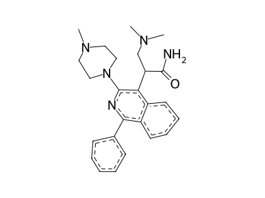 CN(C)CC(C(N)=O)c1c(N2CCN(C)CC2)nc(-c2ccccc2)c2ccccc12